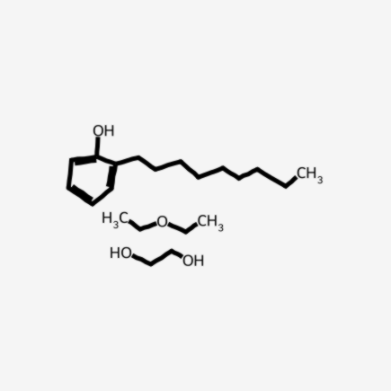 CCCCCCCCCc1ccccc1O.CCOCC.OCCO